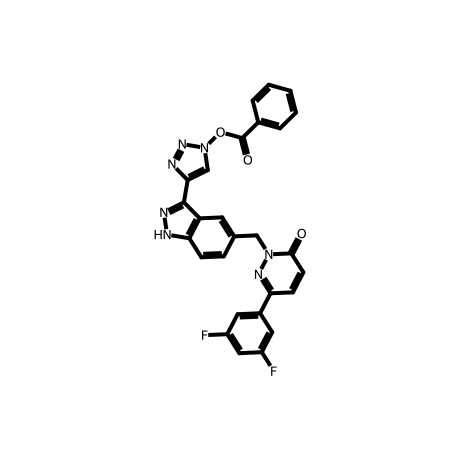 O=C(On1cc(-c2n[nH]c3ccc(Cn4nc(-c5cc(F)cc(F)c5)ccc4=O)cc23)nn1)c1ccccc1